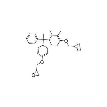 CC1=C(OCC2CO2)CCC(C(C)(c2ccccc2)C2C=CC(OCC3CO3)=CC2)C1C